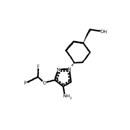 Nc1cn([C@H]2CC[C@H](CO)CC2)nc1OC(F)F